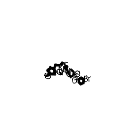 COc1ccc(Cc2csc(N3CCC(S(=O)(=O)c4cccc(Br)c4)CC3)n2)c(OC)c1